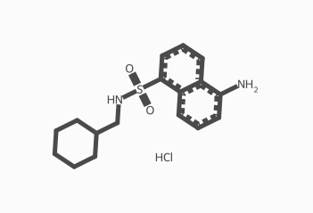 Cl.Nc1cccc2c(S(=O)(=O)NCC3CCCCC3)cccc12